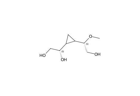 CO[C@H](CO)C1CC1[C@H](O)CO